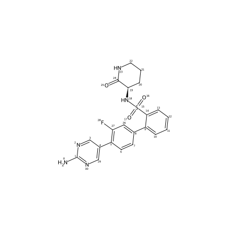 Nc1ncc(-c2ccc(-c3ccccc3S(=O)(=O)N[C@@H]3CCCNC3=O)cc2F)cn1